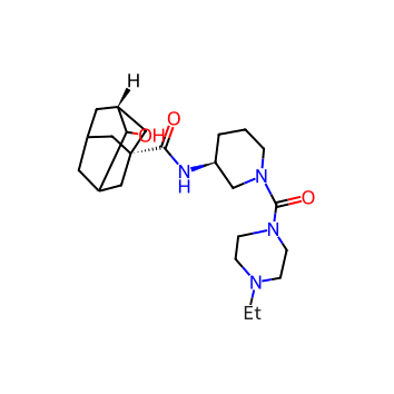 CCN1CCN(C(=O)N2CCC[C@H](NC(=O)[C@@]34CC5CC(C3)C(O)[C@H](C5)C4)C2)CC1